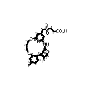 O=C(O)CCS(=O)(=O)Cc1cc2nc(c1)OCCCOc1cc(F)ccc1-c1cc(ncc1F)N2